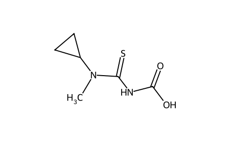 CN(C(=S)NC(=O)O)C1CC1